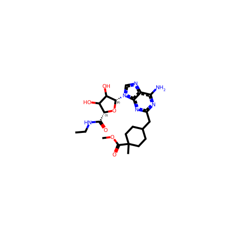 CCNC(=O)[C@H]1O[C@@H](n2cnc3c(N)nc(CC4CCC(C)(C(=O)OC)CC4)nc32)C(O)C1O